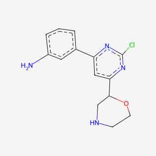 Nc1cccc(-c2cc(C3CNCCO3)nc(Cl)n2)c1